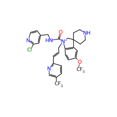 O=C(NCc1ccnc(Cl)c1)[N+]1(C/C=C/c2ccc(C(F)(F)F)cn2)CC2(CCNCC2)c2cc(OC(F)(F)F)ccc21